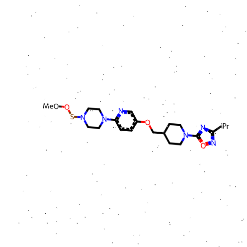 COOSN1CCN(c2ccc(OCC3CCN(c4nc(C(C)C)no4)CC3)cn2)CC1